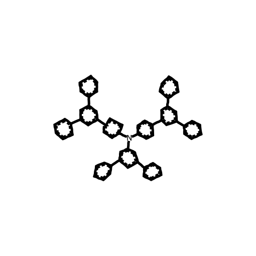 c1ccc(-c2cc(-c3ccccc3)cc(-c3ccc(N(c4ccc(-c5cc(-c6ccccc6)cc(-c6ccccc6)c5)cc4)c4cc(-c5ccccc5)cc(-c5ccccc5)c4)cc3)c2)cc1